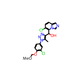 COCOc1ccc(-n2nnc(C(O)c3c(Cl)ccc4cncn34)c2C)cc1Cl